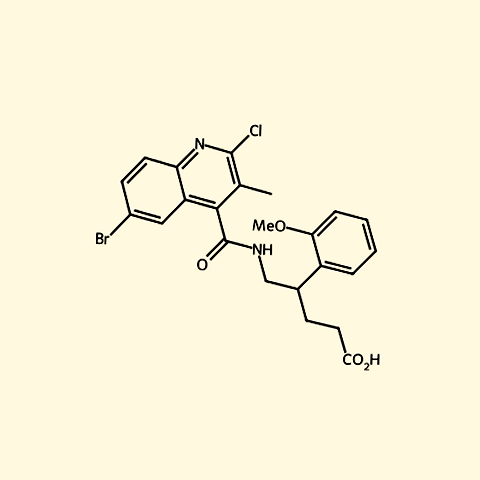 COc1ccccc1C(CCC(=O)O)CNC(=O)c1c(C)c(Cl)nc2ccc(Br)cc12